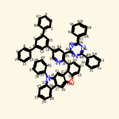 c1ccc(-c2cc(-c3ccccc3)cc(-c3cnc(-c4cccc5oc6cc7c8ccccc8n(-c8ccccc8)c7cc6c45)c(-c4nc(-c5ccccc5)nc(-c5ccccc5)n4)c3)c2)cc1